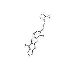 O=C1CCCN1CCCN1COc2cc3c(cc2C1=O)OC1CCCN1C3=O